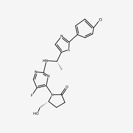 C[C@H](Nc1ncc(F)c(N2C(=O)CC[C@@H]2CO)n1)c1cnc(-c2ccc(Cl)cc2)s1